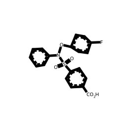 O=C(O)c1ccc(S(=O)(=O)N(Oc2ccc(F)cc2)c2ccccc2)cc1